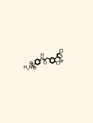 NS(=O)(=O)c1ccc(NC(=O)Cc2ccc(Cl)c(-c3cc(Cl)sc3Br)c2)cc1